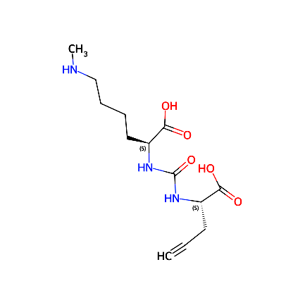 C#CC[C@H](NC(=O)N[C@@H](CCCCNC)C(=O)O)C(=O)O